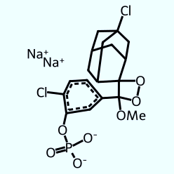 COC1(c2ccc(Cl)c(OP(=O)([O-])[O-])c2)OOC12C1CC3CC2CC(Cl)(C3)C1.[Na+].[Na+]